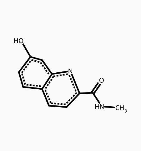 CNC(=O)c1ccc2ccc(O)cc2n1